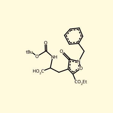 CCOC(=O)c1on(Cc2ccccc2)c(=O)c1CC(NC(=O)OC(C)(C)C)C(=O)O